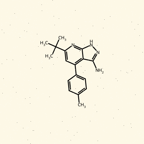 Cc1ccc(-c2cc(C(C)(C)C)nc3[nH]nc(N)c23)cc1